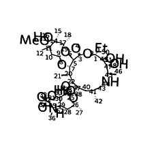 CC[C@H]1OC(=O)[C@H](C)[C@@H](O[C@H]2C[C@@](C)(OC)[C@@](C)(O)[C@H](C)O2)[C@H](C)[C@@H](O[C@@H]2O[C@H](C)C[C@H]3[C@H]2OS(=O)(=O)N3C)[C@](C)(O)C[C@@H](C)CN[C@H](C)[C@@H](O)[C@]1(C)O